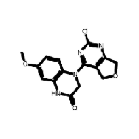 COc1ccc2c(c1)NC(=O)CN2c1nc(Cl)nc2c1COC2